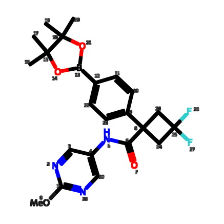 COc1ncc(NC(=O)C2(c3ccc(B4OC(C)(C)C(C)(C)O4)cc3)CC(F)(F)C2)cn1